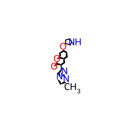 Cc1ccn2cc(-c3cc4ccc(O[C@@H]5CCNC5)cc4oc3=O)nc2n1